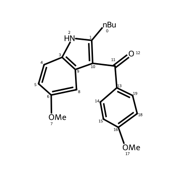 CCCCc1[nH]c2ccc(OC)cc2c1C(=O)c1ccc(OC)cc1